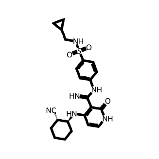 N#C[C@H]1CCCC[C@@H]1Nc1cc[nH]c(=O)c1C(=N)Nc1ccc(S(=O)(=O)NCC2CC2)cc1